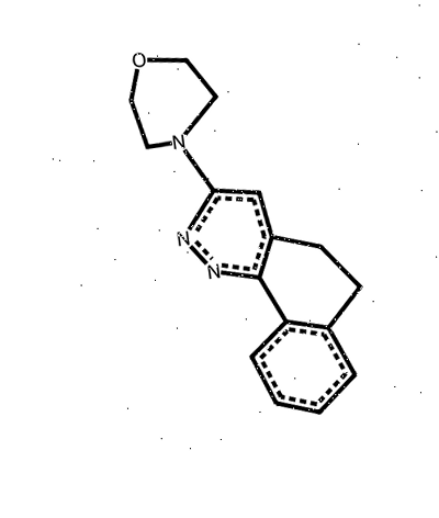 c1ccc2c(c1)CCc1cc(N3CCOCC3)nnc1-2